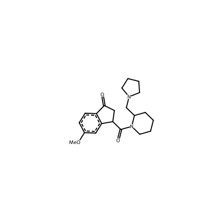 COc1ccc2c(c1)C(C(=O)N1CCCCC1CN1CCCC1)CC2=O